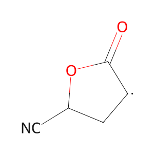 N#CC1C[CH]C(=O)O1